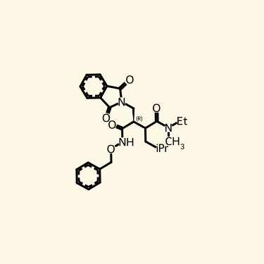 CCN(C)C(=O)C(CC(C)C)[C@H](CN1C(=O)c2ccccc2C1=O)C(=O)NOCc1ccccc1